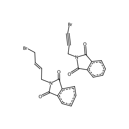 O=C1c2ccccc2C(=O)N1C/C=C/CBr.O=C1c2ccccc2C(=O)N1CC#CBr